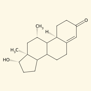 C[C@H]1C[C@@]2(C)C(CC[C@@H]2O)C2CCC3=CC(=O)CC[C@@H]3C21